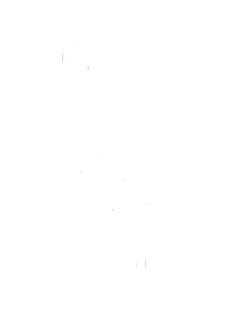 CCCc1ccc(-c2ccc(CCc3ccc(CC)cc3)cc2)c(Cl)c1F